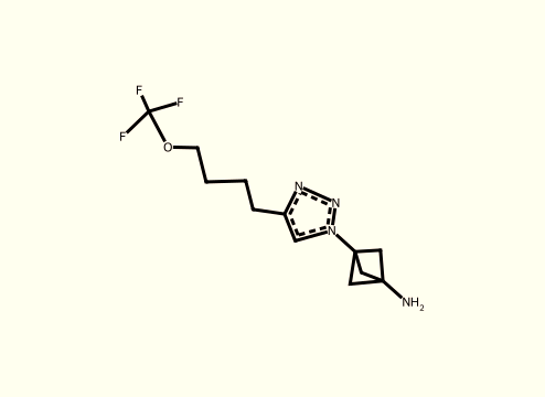 NC12CC(n3cc(CCCCOC(F)(F)F)nn3)(C1)C2